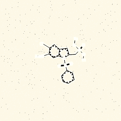 CCOP(=O)(Cc1cc2cc(Cl)c(OC)cc2n1S(=O)(=O)c1ccccc1)OCC